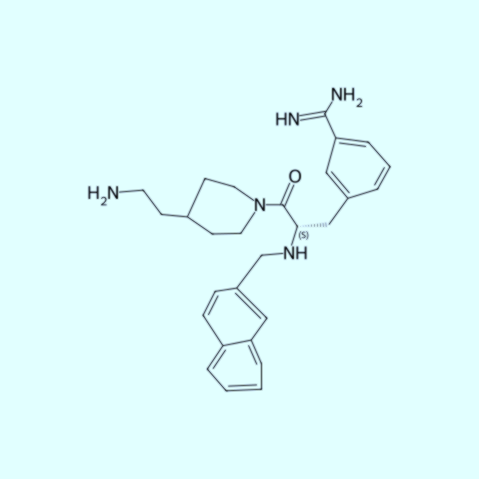 N=C(N)c1cccc(C[C@H](NCc2ccc3ccccc3c2)C(=O)N2CCC(CCN)CC2)c1